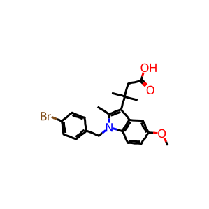 COc1ccc2c(c1)c(C(C)(C)CC(=O)O)c(C)n2Cc1ccc(Br)cc1